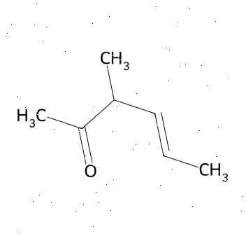 CC=CC(C)C(C)=O